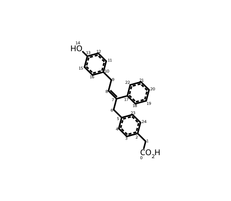 O=C(O)Cc1ccc(CC(=CCc2ccc(O)cc2)c2ccccc2)cc1